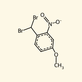 COc1ccc(C(Br)Br)c([N+](=O)[O-])c1